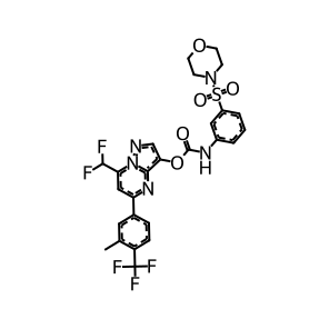 Cc1cc(-c2cc(C(F)F)n3ncc(OC(=O)Nc4cccc(S(=O)(=O)N5CCOCC5)c4)c3n2)ccc1C(F)(F)F